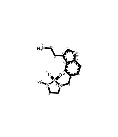 CC(C)N1CCN(Cc2ccc3[nH]cc(CCN)c3c2)S1(=O)=O